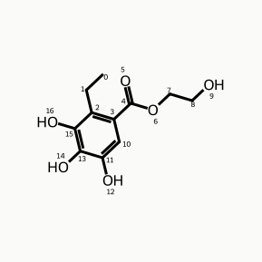 CCc1c(C(=O)OCCO)cc(O)c(O)c1O